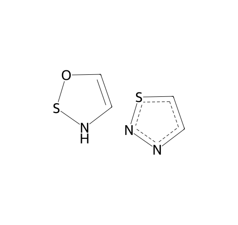 C1=COSN1.c1csnn1